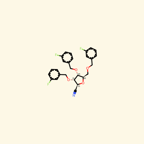 N#C[C@@H]1O[C@H](COCc2cccc(F)c2)[C@@H](OCc2cccc(F)c2)[C@H]1OCc1cccc(F)c1